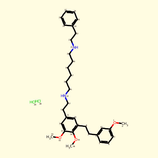 COc1cccc(CCc2cc(CCNCCCCCCNCCc3ccccc3)cc(OC)c2OC)c1.Cl.Cl